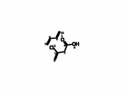 C=C(Cl)CC(=O)O.C=CC=C